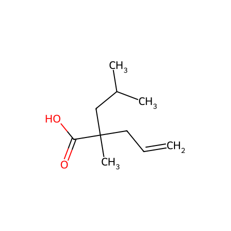 C=CCC(C)(CC(C)C)C(=O)O